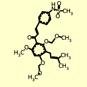 COCOc1cc(OC)c(C(=O)/C=C/c2ccc(NS(C)(=O)=O)cc2)c(OCOC)c1CC=C(C)C